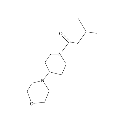 CC(C)CC(=O)N1CCC(N2CCOCC2)CC1